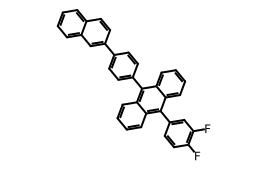 Fc1ccc(-c2c3ccccc3c(-c3ccc(-c4ccc5ccccc5c4)cc3)c3ccccc23)cc1F